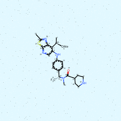 CO[C@H](C)c1c(Nc2ccc([C@H](N(C)C(=O)C3CCNCC3)C(F)(F)F)cc2)cnc2sc(C)nc12